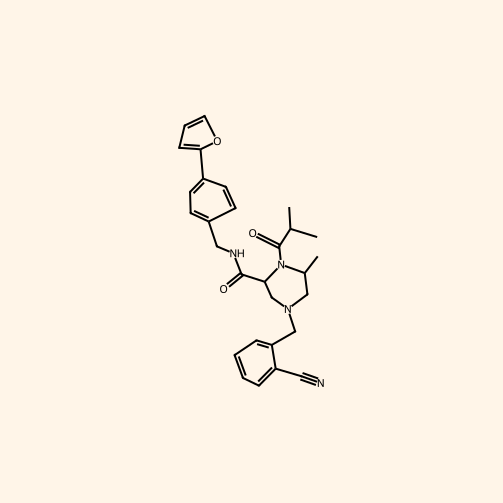 CC(C)C(=O)N1C(C)CN(Cc2ccccc2C#N)CC1C(=O)NCc1ccc(-c2ccco2)cc1